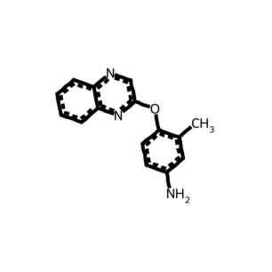 Cc1cc(N)ccc1Oc1cnc2ccccc2n1